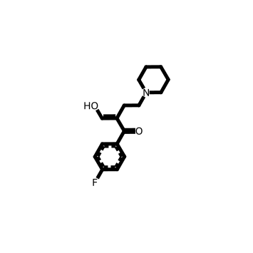 O=C(/C(=C/O)CCN1CCCCC1)c1ccc(F)cc1